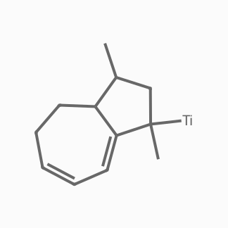 CC1C[C](C)([Ti])C2=CC=CCCC21